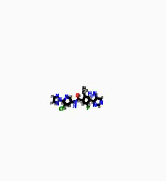 Cc1cc(-c2ncncc2N)c(F)cc1C(=O)Nc1cnc(-n2nccn2)c(Cl)c1